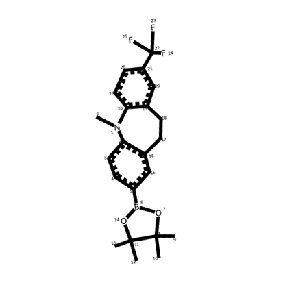 CN1c2ccc(B3OC(C)(C)C(C)(C)O3)cc2CCc2cc(C(F)(F)F)ccc21